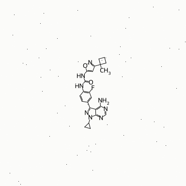 CC1(c2cc(NC(=O)Nc3ccc(-c4nn(C5CC5)c5ncnc(N)c45)cc3F)on2)CCC1